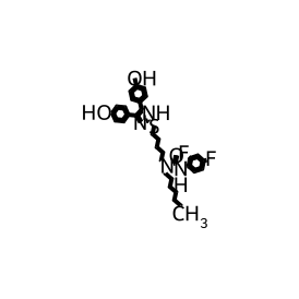 CCCCCCCN(CCCCCSc1nc(-c2ccc(O)cc2)c(-c2ccc(O)cc2)[nH]1)C(=O)Nc1ccc(F)cc1F